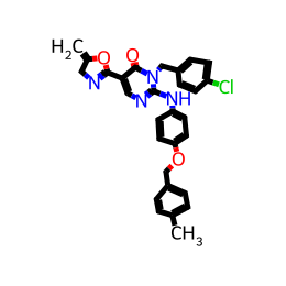 C=C1CN=C(c2cnc(Nc3ccc(OCc4ccc(C)cc4)cc3)n(Cc3ccc(Cl)cc3)c2=O)O1